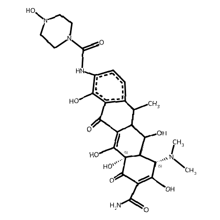 CC1c2ccc(NC(=O)N3CCN(O)CC3)c(O)c2C(=O)C2=C(O)[C@]3(O)C(=O)C(C(N)=O)=C(O)[C@@H](N(C)C)C3C(O)C21